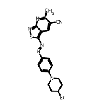 CCC1CCN(c2ccc(N=Nc3snc4nc(C)c(C#N)cc34)cc2)CC1